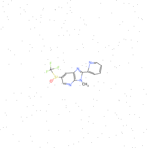 Cn1c(-c2ccccn2)nc2cc([S+]([O-])C(F)(F)F)cnc21